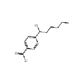 CCCCCC(Cl)c1ccc(C(=O)Cl)cc1